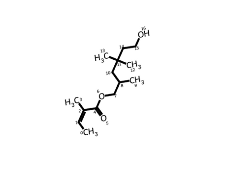 CC=C(C)C(=O)OCC(C)CC(C)(C)CCO